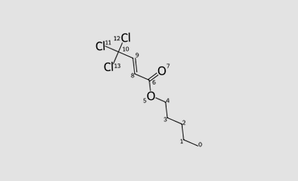 CCCCCOC(=O)C=CC(Cl)(Cl)Cl